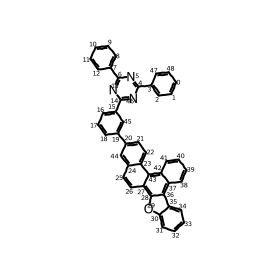 c1ccc(-c2nc(-c3ccccc3)nc(-c3cccc(-c4ccc5c(ccc6c7oc8ccccc8c7c7ccccc7c56)c4)c3)n2)cc1